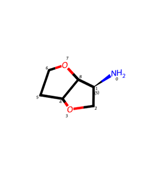 N[C@H]1COC2CCOC21